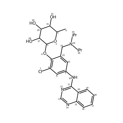 CC1OC(Oc2c(Cl)cc(Nc3ncnc4ccccc34)cc2CN(C(C)C)C(C)C)C(O)C(O)C1O